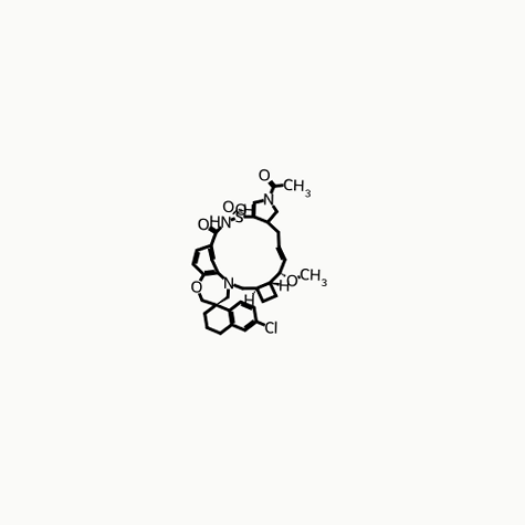 CO[C@H]1/C=C/CC2CN(C(C)=O)C[C@H]2S(=O)(=O)NC(=O)c2ccc3c(c2)N(C[C@@H]2CC[C@H]21)C[C@@]1(CCCc2cc(Cl)ccc21)CO3